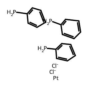 Pc1ccccc1.Pc1ccccc1.Pc1ccccc1.[Cl-].[Cl-].[Pt]